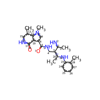 CC(=N)/C(CNC(=O)c1cn(C)c2c(C)c[nH]c(=O)c12)=C(/C)Nc1ccccc1C